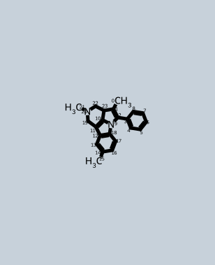 CC1=C(c2ccccc2)n2c3c(c4cc(C)ccc42)CN(C)CC13